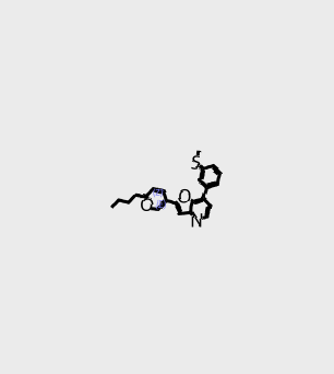 C/C=C(\C=C/C(=O)CCCC)c1cc2nccc(-c3cccc(SC)c3)c2o1